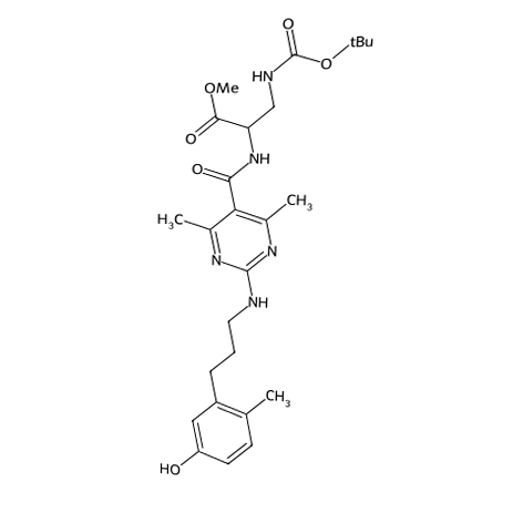 COC(=O)C(CNC(=O)OC(C)(C)C)NC(=O)c1c(C)nc(NCCCc2cc(O)ccc2C)nc1C